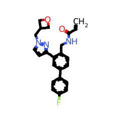 C=CC(=O)NCc1ccc(-c2ccc(F)cc2)cc1-c1ccn(CC2COC2)n1